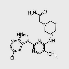 Cc1cnc(-c2c[nH]c3ncc(Cl)cc23)nc1N[C@H]1CCCN(CC(N)=O)C1